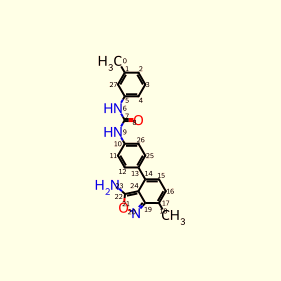 Cc1cccc(NC(=O)Nc2ccc(-c3ccc(C)c4noc(N)c34)cc2)c1